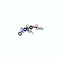 COC(=O)CCc1ccc(-c2c(Cl)c3ccc(SNC4CCCCC4)cc3n2C)cc1